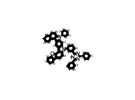 c1ccc(-c2nc(-c3ccccc3)nc(-c3cccc(-n4c5cc6c(cc5c5c7oc8ccccc8c7ccc54)c4c5ccccc5ccc4n6-c4ccccc4)c3)n2)cc1